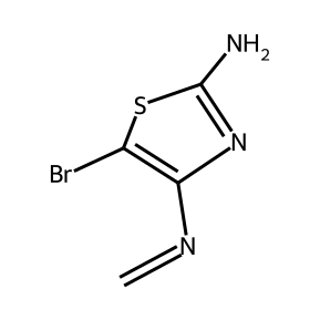 C=Nc1nc(N)sc1Br